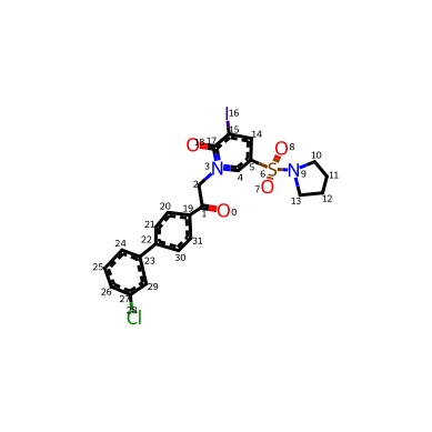 O=C(Cn1cc(S(=O)(=O)N2CCCC2)cc(I)c1=O)c1ccc(-c2cccc(Cl)c2)cc1